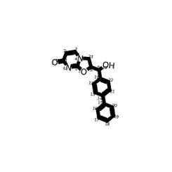 O=c1ccn2c(n1)OC(C(O)c1ccc(-c3ccccc3)cc1)C2